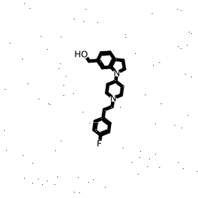 OCc1ccc2c(c1)N(C1CCN(CCc3ccc(F)cc3)CC1)CC2